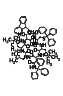 CC(C)C[C@H](NC(=O)[C@H](CC(=O)NC(c1ccccc1)(c1ccccc1)c1ccccc1)NC(=O)[C@H](COC(C)(C)C)NC(=O)[C@H](CSC(c1ccccc1)(c1ccccc1)c1ccccc1)NC(=O)OCC1c2ccccc2-c2ccccc21)C(=O)N[C@@H](COC(C)(C)C)C(=O)N[C@H](C(=O)O)[C@@H](C)O